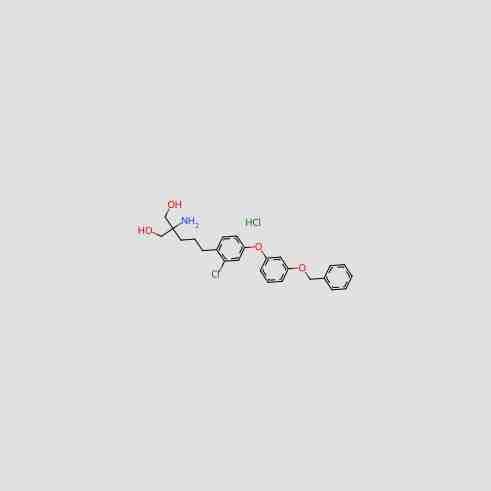 Cl.NC(CO)(CO)CCCc1ccc(Oc2cccc(OCc3ccccc3)c2)cc1Cl